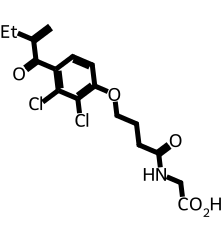 C=C(CC)C(=O)c1ccc(OCCCC(=O)NCC(=O)O)c(Cl)c1Cl